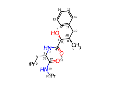 CC(C)C[C@H](NC(=O)[C@@H](O)[C@H](C)Cc1ccccc1)C(=O)NC(C)C